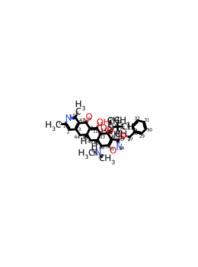 Cc1cc2c(c(C)n1)C(=O)C1=C(O)[C@]3(O[Si](C)(C)C(C)(C)C)C(=O)c4c(OCc5ccccc5)noc4[C@@H](N(C)C)[C@@H]3C[C@@H]1C2